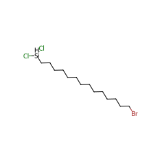 Cl[SiH](Cl)CCCCCCCCCCCCCCBr